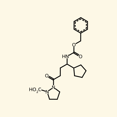 O=C(NC(CCC(=O)N1CCCN1C(=O)O)C1CCCC1)OCc1ccccc1